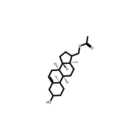 CC(=O)OCC1CC[C@H]2[C@@H]3CC=C4CC(O)CC[C@]4(C)[C@@H]3CC[C@]12C